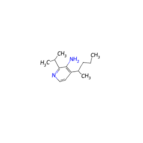 CCCC(C)c1ccnc(C(C)C)c1N